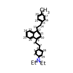 CCN(CC)c1ccc(CCc2ccc(CCc3ccc(C)cc3)c3ccccc23)cc1